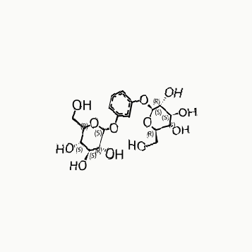 OC[C@H]1O[C@@H](Oc2cccc(O[C@@H]3O[C@H](CO)[C@@H](O)[C@H](O)[C@H]3O)c2)[C@H](O)[C@@H](O)[C@@H]1O